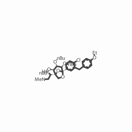 CCCCO[C@@H]1[C@@H](OCCCC)[C@@]2(c3ccc(Cl)c(Cc4ccc(OCC)cc4)c3)OC[C@](C(O)CNC)(O2)[C@H]1OCCCC